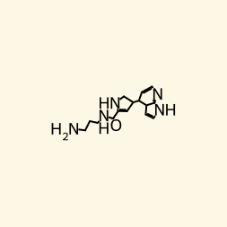 NCCCNC(=O)C1=CC(C2C=CN=C3NC=CC32)CN1